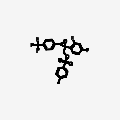 Cc1ccc(S(=O)(=O)OCC2(c3ccc(F)cc3F)OC2c2ccc(C(F)(F)F)cc2)cc1